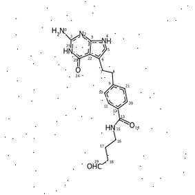 Nc1nc2[nH]cc(CCc3ccc(C(=O)NCCCC=O)cc3)c2c(=O)[nH]1